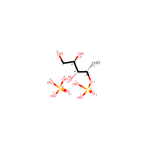 O=C[C@H](OP(=O)(O)O)[C@H](O)[C@H](O)CO.O=P(O)(O)O